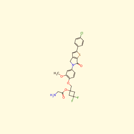 COc1cc(N2Cc3cc(-c4ccc(Cl)cc4)sc3C2=O)ccc1OCC1(OC(=O)CN)CC(F)(F)C1